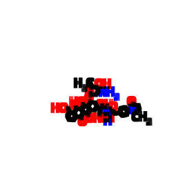 C=C1C=CC(=O)N1c1ccc(CC(=O)N/N=C(\CO)[C@]2(O)Cc3c(O)c4c(c(O)c3[C@@H](O[C@H]3C[C@@H](N)[C@@H](O)C(C)O3)C2)C(=O)c2c(CO)cccc2C4=O)cc1